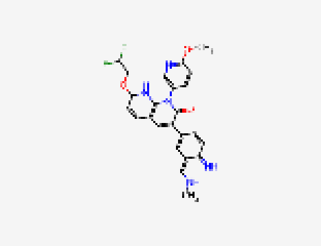 CN/C=C1/C=C(c2cc3c(n(-c4ccc(OC)nc4)c2=O)NC(OCC(F)F)C=C3)C=CC1=N